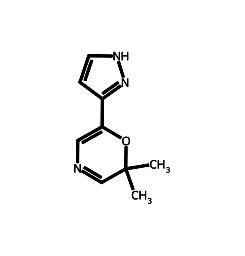 CC1(C)C=NC=C(c2cc[nH]n2)O1